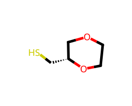 SC[C@@H]1COCCO1